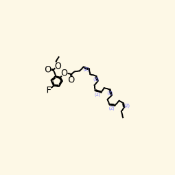 CC/C=C\C/C=C\C/C=C\C/C=C\C/C=C\C/C=C\CCC(=O)Oc1ccc(F)cc1C(=O)OCC